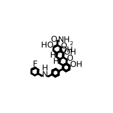 NC(=O)C1=C(O)C[C@@H]2C[C@@H]3Cc4c(-c5ccc(CNCC6=CC(F)=CCC6)cc5)ccc(O)c4C(=O)C3=C(O)[C@]2(O)C1=O